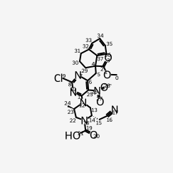 COC(=O)C1(Cc2nc(Cl)nc(N3C[C@H](CC#N)N(C(=O)O)C[C@H]3C)c2[N+](=O)[O-])CCCc2ccccc21